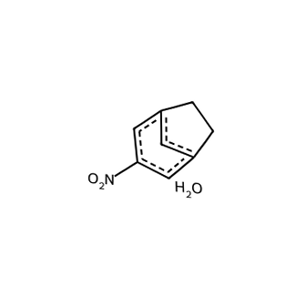 O.O=[N+]([O-])c1cc2cc(c1)CC2